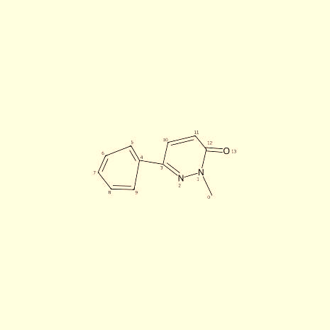 Cn1nc(-c2ccccc2)ccc1=O